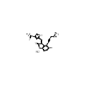 CNCC#Cc1c(F)ccc2c1C(=Cc1cc(C(C)=O)c[nH]1)C(=O)N2.Cl